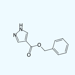 O=C(OCc1ccccc1)c1cn[nH]c1